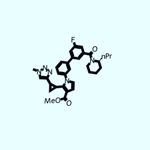 CCC[C@@H]1CCCCN1C(=O)c1cc(F)cc(-c2cccc(-n3ccc(C(=O)OC)c3C3CC3c3cn(C)nn3)c2)c1